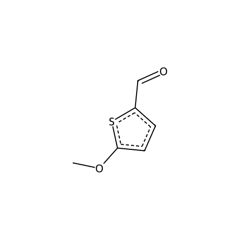 COc1ccc(C=O)s1